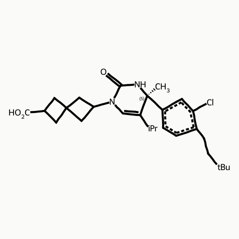 CC(C)C1=CN(C2CC3(CC(C(=O)O)C3)C2)C(=O)N[C@@]1(C)c1ccc(CCC(C)(C)C)c(Cl)c1